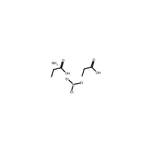 CCC(=O)O.CCC(=O)O.CCN(CC)CC.N